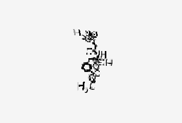 CCOC(=O)c1cccc2c1OB(O)[C@@H](NC(=O)CCCS(N)(=O)=O)C2